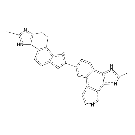 Cc1nc2c([nH]1)-c1ccc3cc(-c4ccc5c(c4)c4ccncc4c4nc(C)[nH]c54)sc3c1CC2